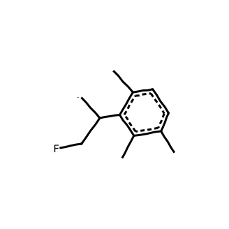 [CH2]C(CF)c1c(C)ccc(C)c1C